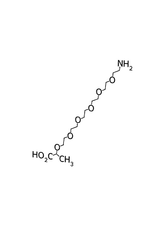 CC(OCCOCCOCCOCCOCCOCCN)C(=O)O